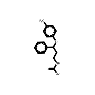 CC(=O)C(=O)NCCC(Oc1ccc(C(F)(F)F)cc1)c1ccccc1